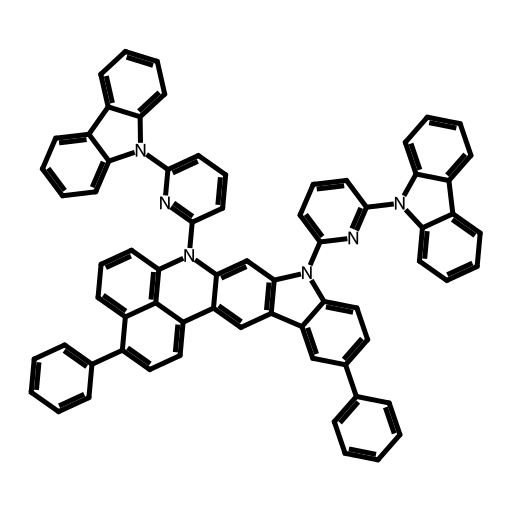 c1ccc(-c2ccc3c(c2)c2cc4c(cc2n3-c2cccc(-n3c5ccccc5c5ccccc53)n2)N(c2cccc(-n3c5ccccc5c5ccccc53)n2)c2cccc3c(-c5ccccc5)ccc-4c23)cc1